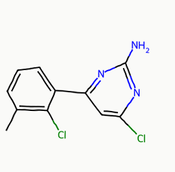 Cc1cccc(-c2cc(Cl)nc(N)n2)c1Cl